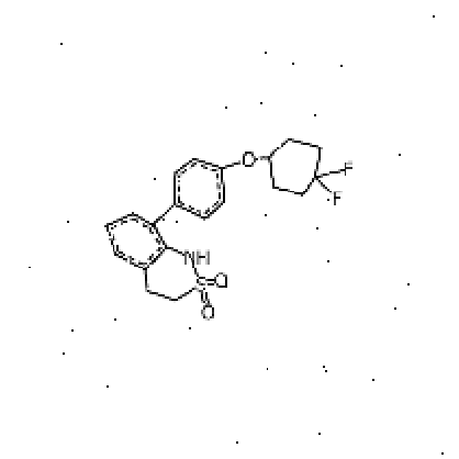 O=S1(=O)CCc2cccc(-c3ccc(OC4CCC(F)(F)CC4)cc3)c2N1